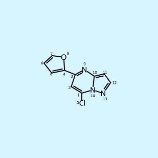 Clc1cc(-c2ccco2)nc2ccnn12